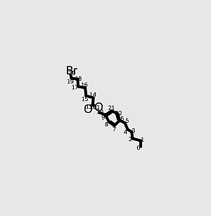 CCCCCCc1ccc(COC(=O)CCCCCCBr)cc1